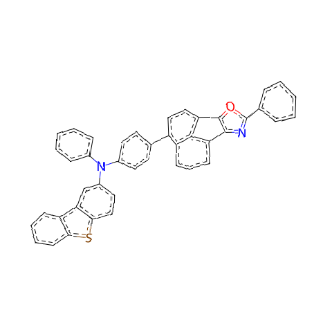 c1ccc(-c2nc3c(o2)-c2ccc(-c4ccc(N(c5ccccc5)c5ccc6sc7ccccc7c6c5)cc4)c4cccc-3c24)cc1